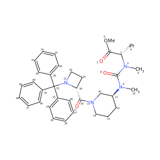 COC(=O)[C@H](C(C)C)N(C)C(=O)N(C)[C@H]1CCCN(C(=O)[C@H]2CCN2C(c2ccccc2)(c2ccccc2)c2ccccc2)C1